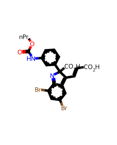 CCCOC(=O)Nc1cccc(C2(C(=O)O)N=c3c(Br)cc(Br)cc3=C2C=CC(=O)O)c1